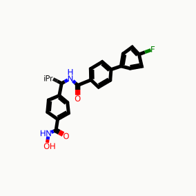 CC(C)C(NC(=O)c1ccc(-c2ccc(F)cc2)cc1)c1ccc(C(=O)NO)cc1